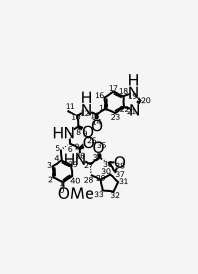 COc1ccc(C[C@H](NC(=O)[C@@H](C)NC(=O)c2ccc3[nH]cnc3c2)C(=O)N[C@@H](CC2CCCC2)C(=O)[C@H]2CO2)cc1